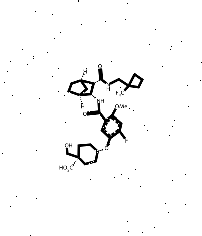 COc1cc(F)c(O[C@H]2CC[C@@](CO)(C(=O)O)CC2)cc1C(=O)N[C@@H]1[C@H]2CC[C@H](C2)[C@@H]1C(=O)NCC1(C(F)(F)F)CCC1